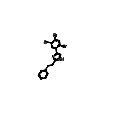 Brc1cc(Br)c(-c2c[nH]c(CCc3ccccc3)n2)cc1Br